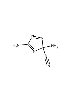 N#[N+]C1(N)N=NC(N)=N1